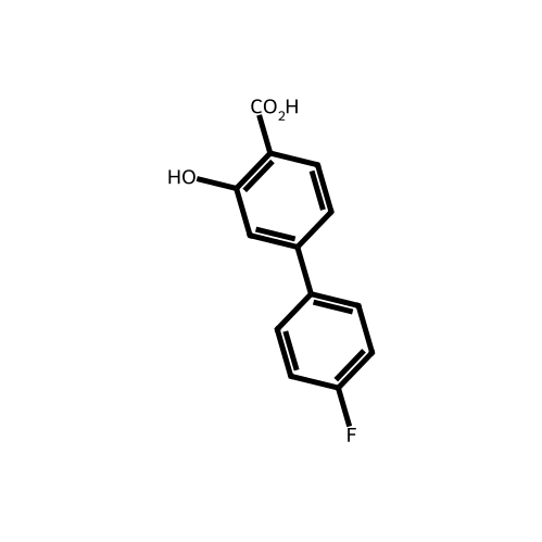 O=C(O)c1ccc(-c2ccc(F)cc2)cc1O